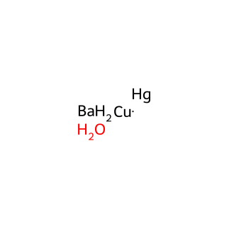 O.[BaH2].[Cu].[Hg]